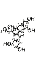 CN(C)Cc1cc(CN(CCO)CCO)c(O)c(CN(CCO)CCO)c1